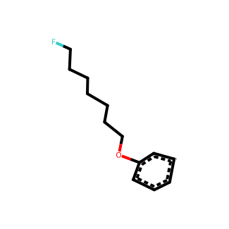 FCCCCCCCOc1c[c]ccc1